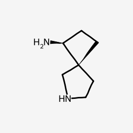 N[C@H]1CC[C@]12CCNC2